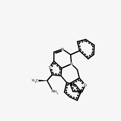 C[C@H](N)c1sc2c(c1-c1ccccc1)N(Cc1ccco1)C(c1ccccc1)N=C2